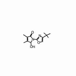 CC1=C(C)C(O)N(c2nc(C(C)(C)C)co2)C1=O